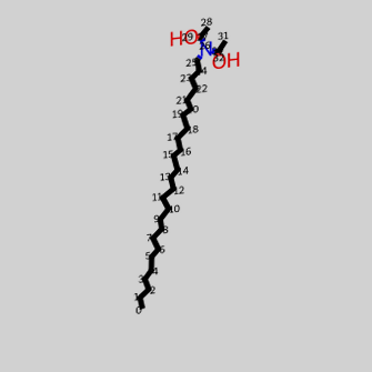 CCCCCCCCCCCCCCCCCCCCCCCCCCN(C(C)O)C(C)O